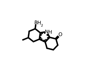 BC1CC(C)Cc2c1[nH]c1c2CCCC1=O